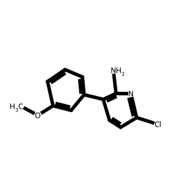 COc1cccc(-c2ccc(Cl)nc2N)c1